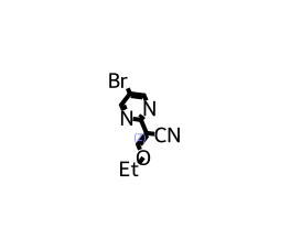 CCO/C=C(\C#N)c1ncc(Br)cn1